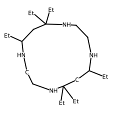 CCC1CC(CC)(CC)NCCNC(CC)CC(CC)(CC)NCCN1